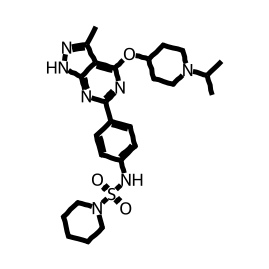 Cc1n[nH]c2nc(-c3ccc(NS(=O)(=O)N4CCCCC4)cc3)nc(OC3CCN(C(C)C)CC3)c12